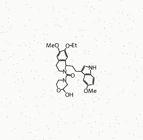 CCOc1cc2c(cc1OC)CCN(C(=O)N1CCOC(O)C1)C2CCc1c[nH]c2ccc(OC)cc12